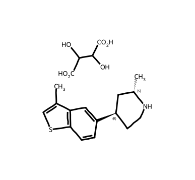 Cc1csc2ccc([C@@H]3CCN[C@@H](C)C3)cc12.O=C(O)C(O)C(O)C(=O)O